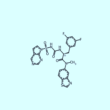 CN(C(=O)[C@H](Cc1cc(F)cc(F)c1)NC(=O)NS(=O)(=O)n1ccc2cncnc21)c1ccc2scnc2c1